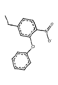 CCc1ccc([N+](=O)[O-])c(Oc2ccccc2)c1